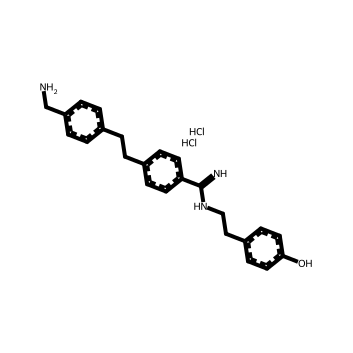 Cl.Cl.N=C(NCCc1ccc(O)cc1)c1ccc(CCc2ccc(CN)cc2)cc1